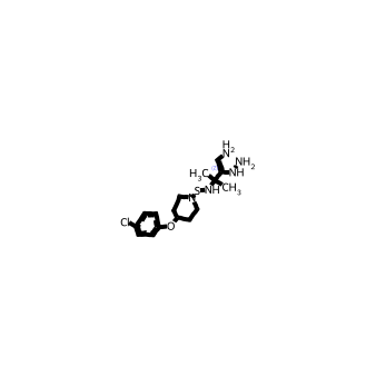 CC(C)(NSN1CCC(Oc2ccc(Cl)cc2)CC1)/C(=C/N)NN